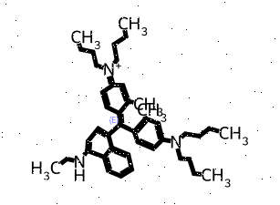 CCCCN(CCCC)c1ccc(/C(=C2/C=CC(=[N+](CCCC)CCCC)C=C2C)c2ccc(NCC)c3ccccc23)c(C)c1